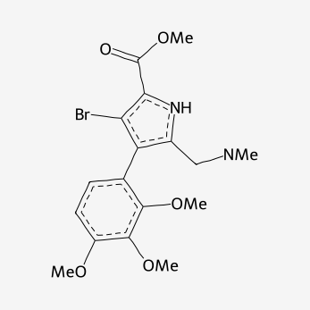 CNCc1[nH]c(C(=O)OC)c(Br)c1-c1ccc(OC)c(OC)c1OC